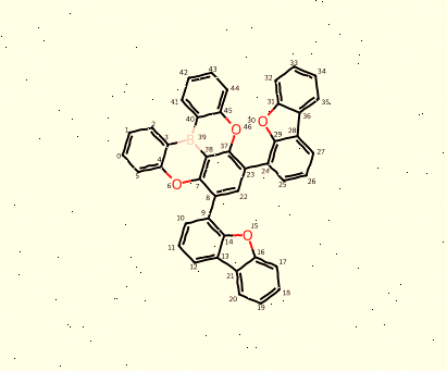 c1ccc2c(c1)Oc1c(-c3cccc4c3oc3ccccc34)cc(-c3cccc4c3oc3ccccc34)c3c1B2c1ccccc1O3